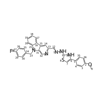 COc1ccc(C2=CSC(NN=Cc3cc4c5ccccc5n(Cc5ccc(F)cc5)c4cn3)N2)cc1